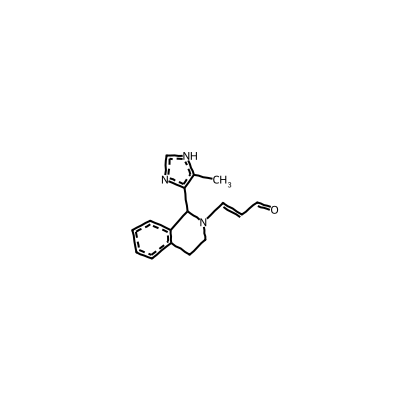 Cc1[nH]cnc1C1c2ccccc2CCN1C=CC=O